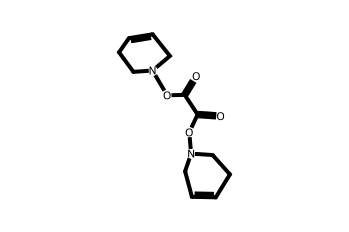 O=C(ON1CC=CCC1)C(=O)ON1CC=CCC1